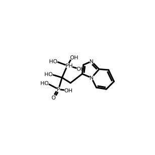 O=P(O)(O)C(O)(Cc1cnc2ccccn12)[PH](O)(O)O